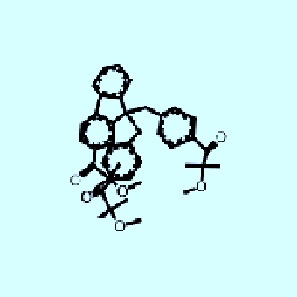 COC(C)(C)C(=O)c1ccc(CC2(Cc3ccc(C(=O)C(C)(C)OC)cc3)c3ccccc3-c3ccc(C(=O)C(C)(C)OC)cc32)cc1